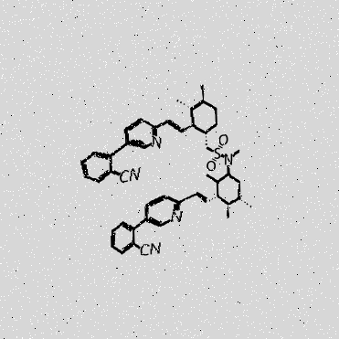 CC1C(N(C)S(=O)(=O)C[C@H]2CC[C@H](C)[C@@H](C)[C@@H]2/C=C/c2ccc(-c3ccccc3C#N)cn2)C[C@H](C)[C@@H](C)[C@@H]1/C=C/c1ccc(-c2ccccc2C#N)cn1